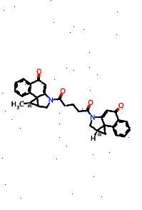 C[C@@H]1C2CN(C(=O)CCCC(=O)N3C[C@H]4CC45C3=CC(=O)c3ccccc35)C3=CC(=O)c4ccccc4C321